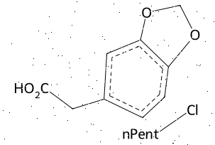 CCCCCCl.O=C(O)Cc1ccc2c(c1)OCO2